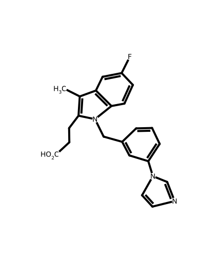 Cc1c(CCC(=O)O)n(Cc2cccc(-n3ccnc3)c2)c2ccc(F)cc12